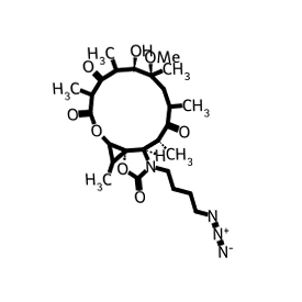 CO[C@@]1(C)CC(C)C(=O)[C@H](C)[C@H]2N(CCCCN=[N+]=[N-])C(=O)O[C@@]23C(C)C3OC(=O)C(C)C(=O)C(C)[C@H]1O